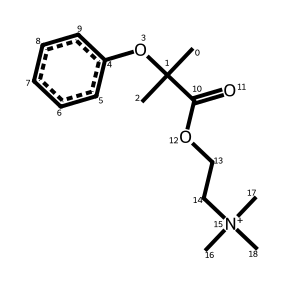 CC(C)(Oc1ccccc1)C(=O)OCC[N+](C)(C)C